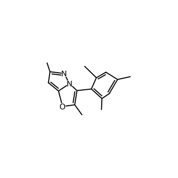 Cc1cc(C)c(-c2c(C)oc3cc(C)nn23)c(C)c1